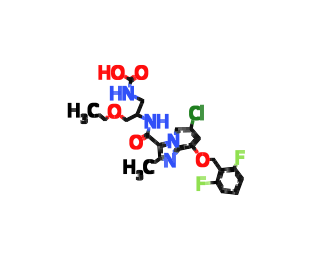 CCOCC(CNC(=O)O)NC(=O)c1c(C)nc2c(OCc3c(F)cccc3F)cc(Cl)cn12